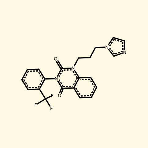 O=c1c2ccccc2n(CCCn2ccnc2)c(=O)n1-c1ccccc1C(F)(F)F